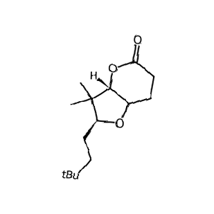 CC(C)(C)CC[C@@H]1OC2CCC(=O)O[C@H]2C1(C)C